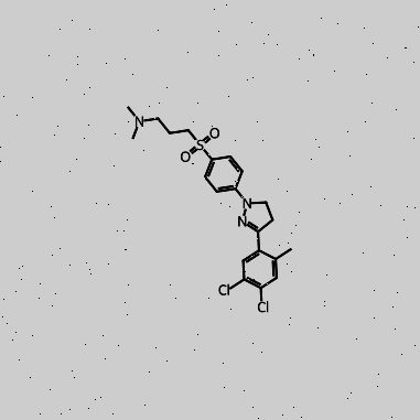 Cc1cc(Cl)c(Cl)cc1C1=NN(c2ccc(S(=O)(=O)CCCN(C)C)cc2)CC1